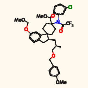 COCOc1ccc2c(c1)C1(CCC(C(=O)OC)(N(C(=O)C(F)(F)F)c3cccc(Cl)c3)CC1)[C@@H](C[C@@H](C)COCc1ccc(OC)cc1)C2